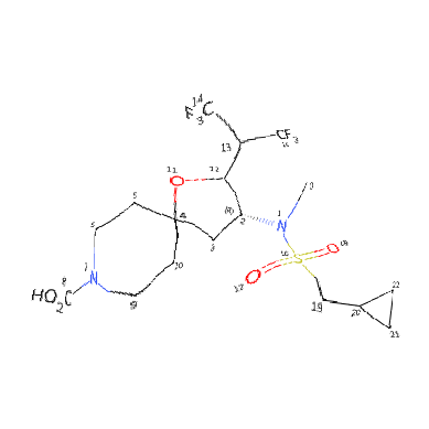 CN([C@@H]1CC2(CCN(C(=O)O)CC2)OC1C(C(F)(F)F)C(F)(F)F)S(=O)(=O)CC1CC1